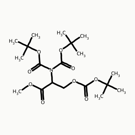 COC(=O)C(COC(=O)OC(C)(C)C)N(C(=O)OC(C)(C)C)C(=O)OC(C)(C)C